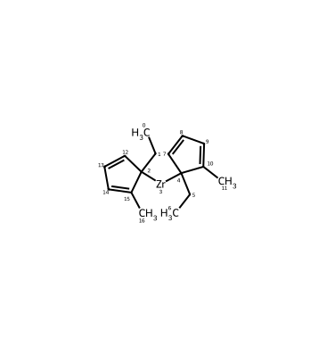 CC[C]1([Zr][C]2(CC)C=CC=C2C)C=CC=C1C